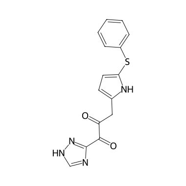 O=C(Cc1ccc(Sc2ccccc2)[nH]1)C(=O)c1nc[nH]n1